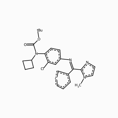 Cn1ccnc1C(=Nc1ccc(N(C(=O)OC(C)(C)C)C2CCC2)c(Cl)c1)c1ccccc1